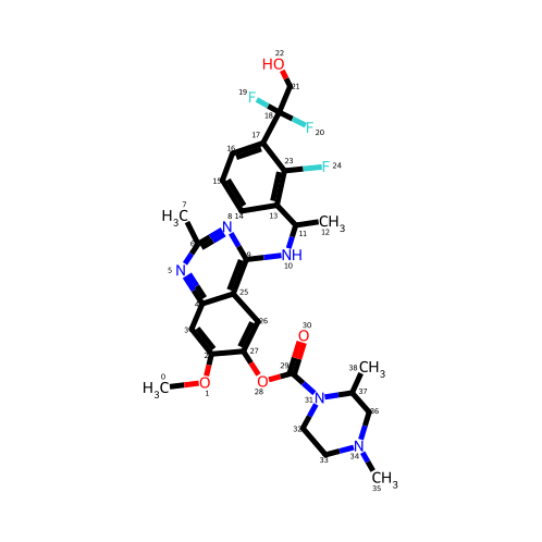 COc1cc2nc(C)nc(NC(C)c3cccc(C(F)(F)CO)c3F)c2cc1OC(=O)N1CCN(C)CC1C